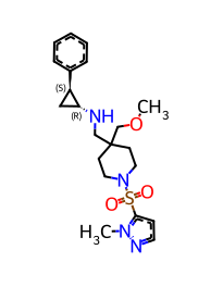 COCC1(CN[C@@H]2C[C@H]2c2ccccc2)CCN(S(=O)(=O)c2ccnn2C)CC1